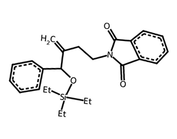 C=C(CCN1C(=O)c2ccccc2C1=O)C(O[Si](CC)(CC)CC)c1ccccc1